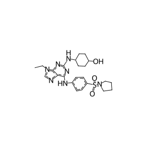 CCn1cnc2c(Nc3ccc(S(=O)(=O)N4CCCC4)cc3)nc(NC3CCC(O)CC3)nc21